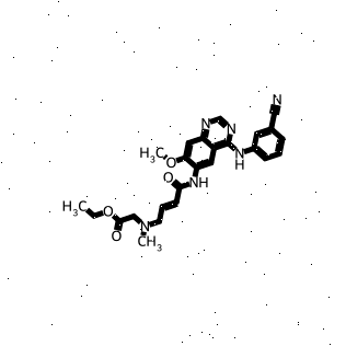 CCOC(=O)CN(C)CC=CC(=O)Nc1cc2c(Nc3cccc(C#N)c3)ncnc2cc1OC